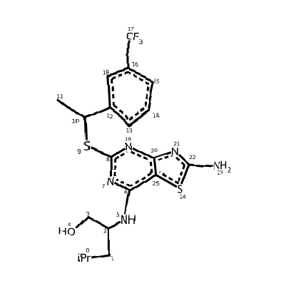 CC(C)CC(CO)Nc1nc(SC(C)c2cccc(C(F)(F)F)c2)nc2nc(N)sc12